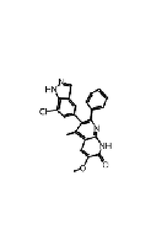 COc1cc2c(C)c(-c3cc(Cl)c4[nH]ncc4c3)c(-c3ccccc3)nc2[nH]c1=O